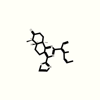 C=C/C(=C(C)/C=C\C)c1nc(-c2nccs2)c2c(n1)[C@]1(C)CCC(=O)[C@H](C)[C@H]1CC2